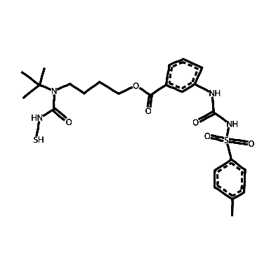 Cc1ccc(S(=O)(=O)NC(=O)Nc2cccc(C(=O)OCCCCN(C(=O)NS)C(C)(C)C)c2)cc1